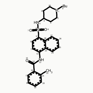 CCC(C)N1CCC(NS(=O)(=O)c2ccc(NC(=O)c3ccccc3C)c3ccccc23)CC1